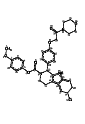 COc1ccc(OC(=O)N2CCc3c([nH]c4c3=CC(Cl)CC=4)C2c2ccc(OCC(=O)N3CCOCC3)cc2)cc1